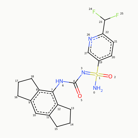 NS(=O)(=NC(=O)Nc1c2c(cc3c1CCC3)CCC2)c1ccc(C(F)F)nc1